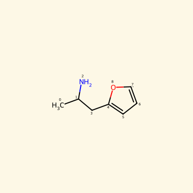 CC(N)Cc1cc[c]o1